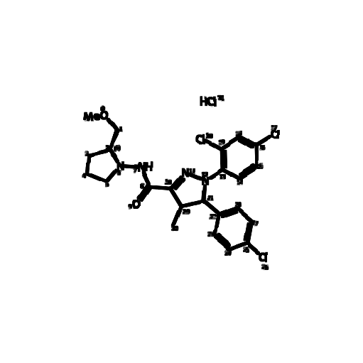 COC[C@@H]1CCCN1NC(=O)C1=NN(c2ccc(Cl)cc2Cl)C(c2ccc(Cl)cc2)C1C.Cl